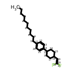 CCCCCCCCCCCc1ccc(C2CCC(C=C(F)F)CC2)cc1